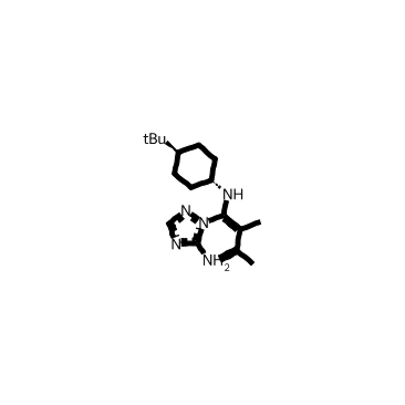 C=C(C)/C(C)=C(/N[C@H]1CC[C@H](C(C)(C)C)CC1)n1ncnc1N